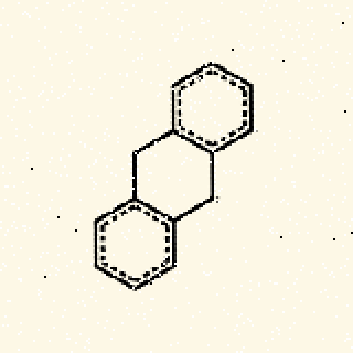 [C]1c2[c]cccc2Cc2ccccc21